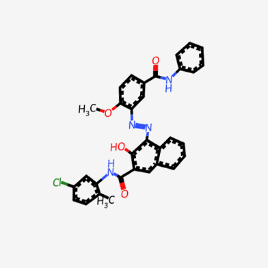 COc1ccc(C(=O)Nc2ccccc2)cc1N=Nc1c(O)c(C(=O)Nc2cc(Cl)ccc2C)cc2ccccc12